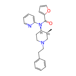 C[C@H]1CN(CCc2ccccc2)CC[C@H]1N(C(=O)c1ccco1)c1ccccn1